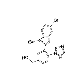 CC(C)(C)n1c(-c2cc(CO)ccc2-n2cncn2)cc2cc(Br)ccc21